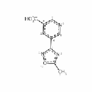 Cc1nc(-c2cncc(C(=O)O)c2)no1